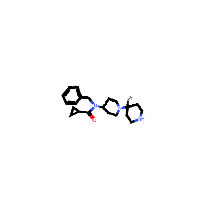 CC(C)C1(N2CCC(N(Cc3ccccc3)C(=O)C3CC3)CC2)CCNCC1